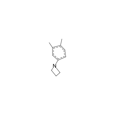 Cc1ccc(N2CCC2)cc1C